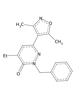 CCc1cc(-c2c(C)noc2C)nn(Cc2ccccc2)c1=O